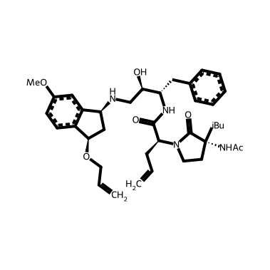 C=CCO[C@@H]1C[C@H](NC[C@@H](O)[C@H](Cc2ccccc2)NC(=O)[C@H](CC=C)N2CC[C@](NC(C)=O)(C(C)CC)C2=O)c2cc(OC)ccc21